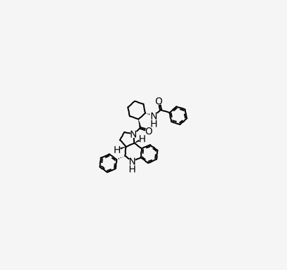 O=C(N[C@H]1CCCC[C@@H]1C(=O)N1CC[C@H]2[C@@H](c3ccccc3)Nc3ccccc3[C@H]21)c1ccccc1